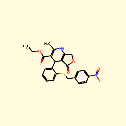 CCOC(=O)C1=C(C)NC2=C(C(=O)OC2)C1c1ccccc1SCc1ccc([N+](=O)[O-])cc1